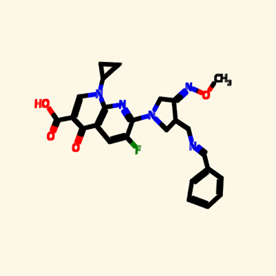 CO/N=C1/CN(c2nc3c(cc2F)c(=O)c(C(=O)O)cn3C2CC2)CC1C/N=C/c1ccccc1